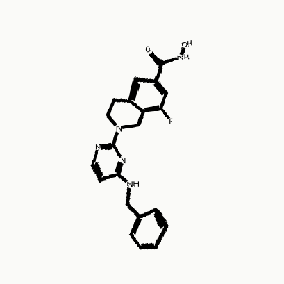 O=C(NO)c1cc(F)c2c(c1)CCN(c1nccc(NCc3ccccc3)n1)C2